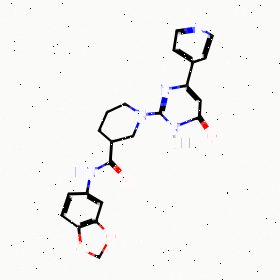 Cn1c(N2CCCC(C(=O)Nc3ccc4c(c3)OCO4)C2)nc(-c2ccncc2)cc1=O